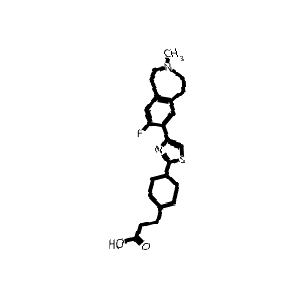 CN1CCc2cc(F)c(-c3csc(C4CCC(CCC(=O)O)CC4)n3)cc2CC1